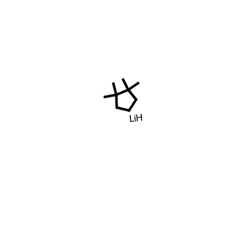 CC1(C)CCCC1(C)C.[LiH]